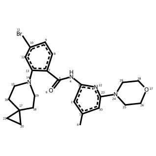 Cc1cc(NC(=O)c2ccc(Br)cc2N2CCC3(CC2)CC3)nc(N2CCOCC2)c1